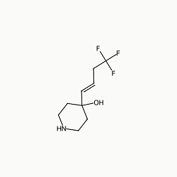 OC1(/C=C/CC(F)(F)F)CCNCC1